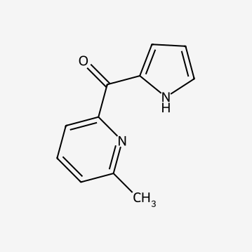 Cc1cccc(C(=O)c2ccc[nH]2)n1